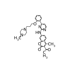 CC(=O)c1c(C)c2ccc(Nc3nccc(-c4ccccc4OCCCN4CCN(C)CC4)n3)cc2oc1=O